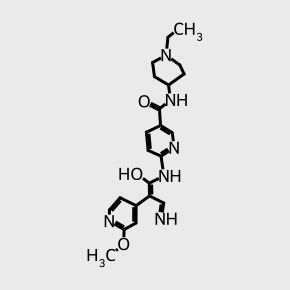 CCN1CCC(NC(=O)c2ccc(N/C(O)=C(\C=N)c3ccnc(OC)c3)nc2)CC1